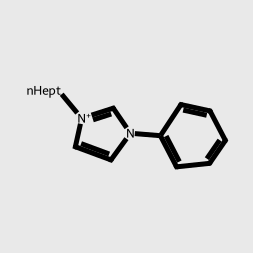 CCCCCCC[n+]1ccn(-c2ccccc2)c1